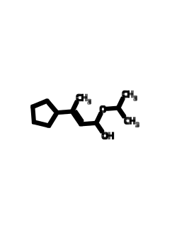 C/C(=C\C(O)OC(C)C)C1CCCC1